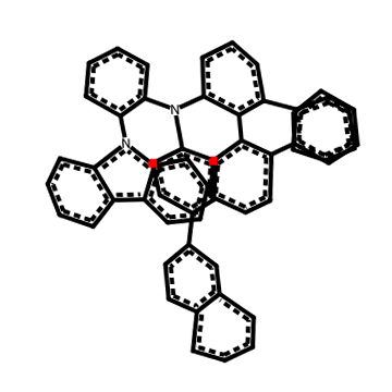 c1ccc(-c2ccccc2-c2c(-c3ccccc3)cccc2N(c2ccc(-c3ccc4ccccc4c3)cc2)c2ccccc2-n2c3ccccc3c3ccccc32)cc1